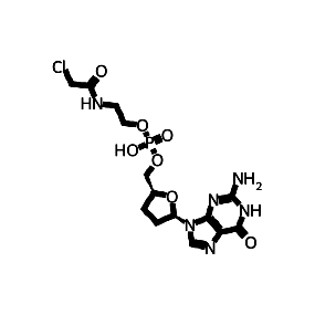 Nc1nc2c(ncn2[C@H]2CC[C@@H](COP(=O)(O)OCCNC(=O)CCl)O2)c(=O)[nH]1